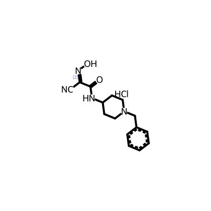 Cl.N#C/C(=N/O)C(=O)NC1CCN(Cc2ccccc2)CC1